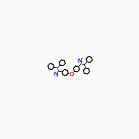 CN(C)C(c1ccc(Oc2ccc(C(C(c3ccccc3)c3ccccc3)N(C)C)cc2)cc1)C(c1ccccc1)c1ccccc1